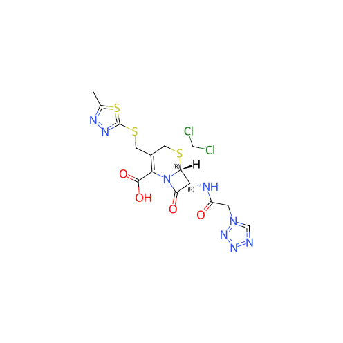 Cc1nnc(SCC2=C(C(=O)O)N3C(=O)[C@@H](NC(=O)Cn4cnnn4)[C@H]3SC2)s1.ClCCl